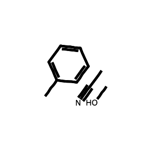 CC#N.CO.Cc1ccccc1